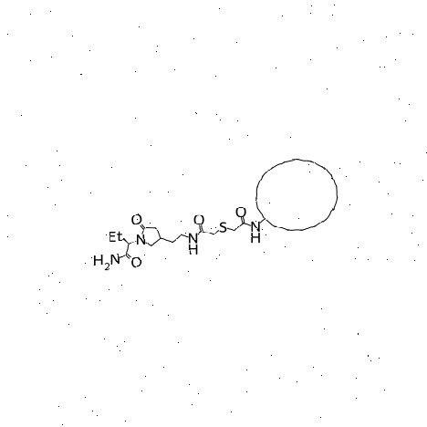 CC[C@H](C(N)=O)N1CC(CCNC(=O)CSCC(=O)NC2CCCCCCCCCCCCCCCCCC2)CC1=O